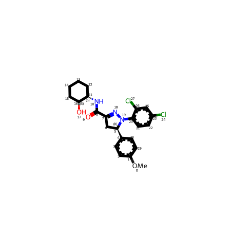 COc1ccc([C@H]2CC(C(=O)N[C@H]3CCCC[C@@H]3O)=NN2c2ccc(Cl)cc2Cl)cc1